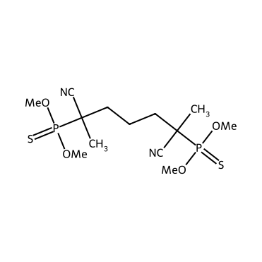 COP(=S)(OC)C(C)(C#N)CCCC(C)(C#N)P(=S)(OC)OC